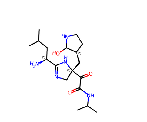 CC(C)C[C@H](N)C1=NC[C@@](C[C@@H]2CCNC2O)(C(=O)C(=O)NC(C)C)N1